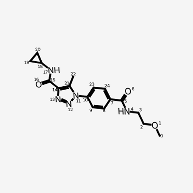 COCCNC(=O)c1ccc(-n2nnc(C(=O)NC3CC3)c2C)cc1